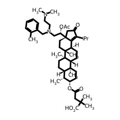 CC(=O)O[C@@H](CN(CCN(C)C)Cc1ccccc1C)[C@@]12CC[C@]3(C)[C@H](CC[C@@H]4[C@@]5(C)CC[C@H](OC(=O)CC(C)(C)C(=O)O)[C@H](C)[C@@H]5CC[C@]43C)C1=C(C(C)C)C(=O)C2